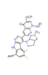 CCNn1cc(C(=O)O)c(=O)c2cc(-c3cnc4[nH]c5c(NC)cc(F)c(F)c5c4c3N3CCC4CN(C)CC43)cnc21